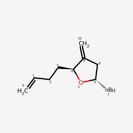 C=CCC[C@@H]1O[C@@H](CCCC)CC1=C